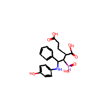 O=C(O)CCC(C(=O)O)C(C(Nc1ccc(O)cc1)c1ccccc1)[PH](=O)O